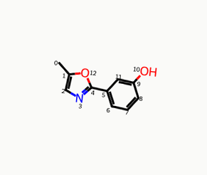 Cc1cnc(-c2cccc(O)c2)o1